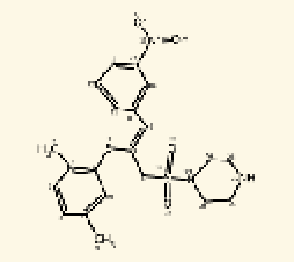 Cc1ccc(C)c(SC(=Cc2cccc([N+](=O)[O-])c2)CS(=O)(=O)N2CCNCC2)c1